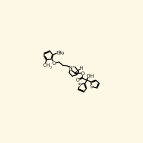 Cc1cccc(C(C)(C)C)c1OCCC[N+]12CCC(CC1)[C@@H](OC(=O)C(O)(c1cccs1)c1cccs1)C2